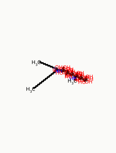 CCCCCCCCCCCCC/C=C/[C@@H](O)[C@H](CO[C@@H]1OC(CO)[C@@H](O[C@@H]2OC(CO)[C@H](O[C@@H]3OC(CO)[C@H](O)[C@H](O[C@@H]4OC(CO)[C@H](O)[C@H](O[C@@H]5OC(CO)[C@H](O)[C@H](O[C@H]6OC(CO)[C@H](O)[C@H](O)C6O)C5O)C4NC(C)=O)C3O)[C@H](O)C2O)[C@H](O)C1O)NC(=O)CCCCCCCCCCCCCCCCCCCCCCC